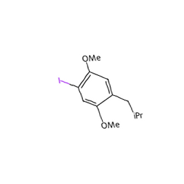 COc1cc(CC(C)C)c(OC)cc1I